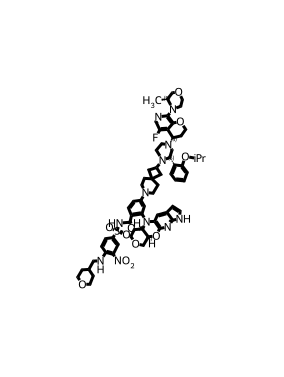 CC(C)Oc1ccccc1[C@H]1CN([C@H]2CCOc3c(N4CCOC[C@@H]4C)ncc(F)c32)CCN1C1CC2(CCN(c3ccc(C(=O)NS(=O)(=O)c4ccc(NCC5CCOCC5)c([N+](=O)[O-])c4)c(N4c5cc6cc[nH]c6nc5O[C@H]5COCC[C@@H]54)c3)CC2)C1